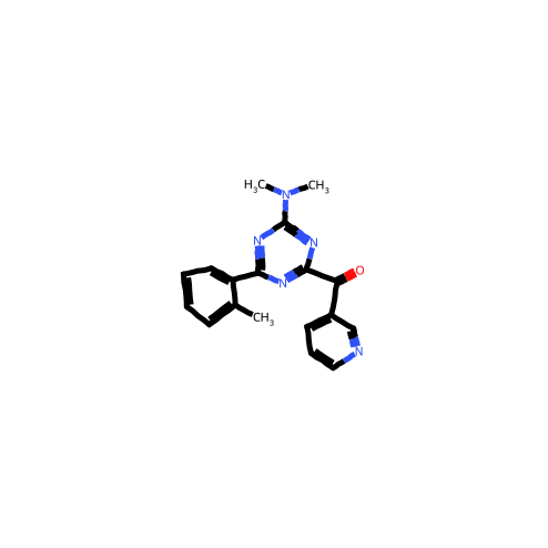 Cc1ccccc1-c1nc(C(=O)c2cccnc2)nc(N(C)C)n1